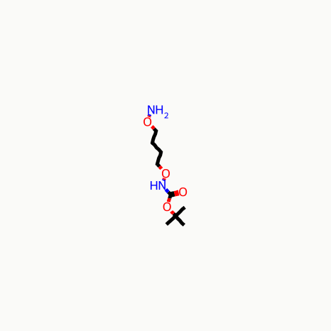 CC(C)(C)OC(=O)NOCCCCON